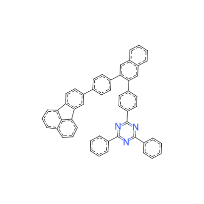 c1ccc(-c2nc(-c3ccccc3)nc(-c3ccc(-c4cc5ccccc5cc4-c4ccc(-c5ccc6c(c5)-c5cccc7cccc-6c57)cc4)cc3)n2)cc1